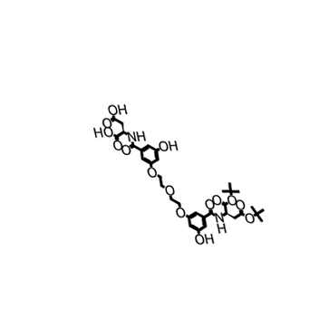 CC(C)(C)OC(=O)C[C@@H](NC(=O)c1cc(O)cc(OCCOCCOc2cc(O)cc(C(=O)N[C@H](CC(=O)O)C(=O)O)c2)c1)C(=O)OC(C)(C)C